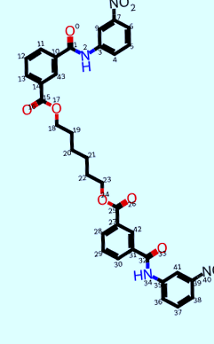 O=C(Nc1cccc([N+](=O)[O-])c1)c1cccc(C(=O)OCCCCCCOC(=O)c2cccc(C(=O)Nc3cccc([N+](=O)[O-])c3)c2)c1